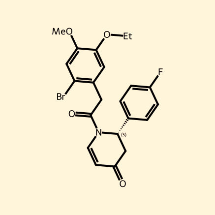 CCOc1cc(CC(=O)N2C=CC(=O)C[C@H]2c2ccc(F)cc2)c(Br)cc1OC